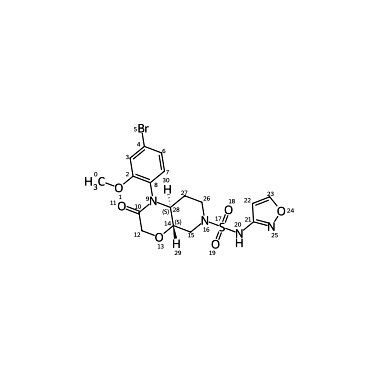 COc1cc(Br)ccc1N1C(=O)CO[C@H]2CN(S(=O)(=O)Nc3ccon3)CC[C@@H]21